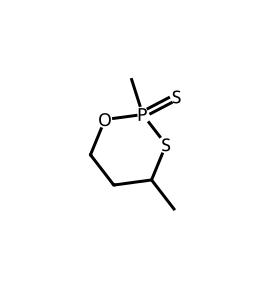 CC1CCOP(C)(=S)S1